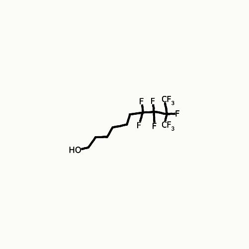 OCCCCCCC(F)(F)C(F)(F)C(F)(C(F)(F)F)C(F)(F)F